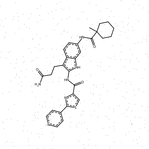 CC1(C(=O)Nc2ccc3c(CCC(N)=O)c(NC(=O)c4csc(-c5ccncc5)n4)[nH]c3c2)CCCCC1